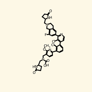 COc1nc(-c2cccc(-c3ccnc(-c4cc(F)c5c(c4)CCN(CC4CCC(=O)N4)C5)c3Cl)c2Cl)ccc1CN(CC1CCC(=O)N1)C(=O)O